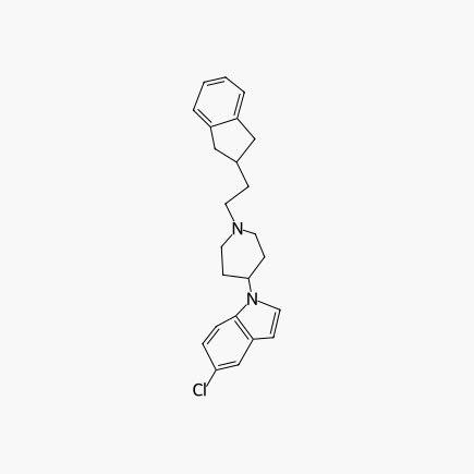 Clc1ccc2c(ccn2C2CCN(CCC3Cc4ccccc4C3)CC2)c1